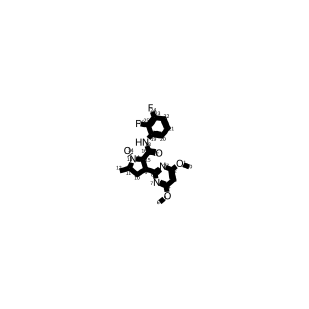 COc1cc(OC)nc(C2CC(C)[N+](=O)C2C(=O)Nc2cccc(F)c2F)n1